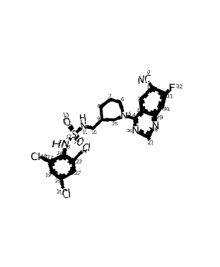 N#Cc1cc2c(N3CCCC(CNS(=O)(=O)Nc4c(Cl)cc(Cl)cc4Cl)C3)ncnc2cc1F